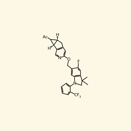 CC(=O)C1[C@H]2c3cnc(OCc4cc5c(cc4F)C(C)(C)CN5c4ccccc4C(F)(F)F)cc3C[C@@H]12